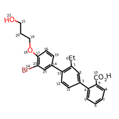 CCc1cc(-c2ccccc2C(=O)O)ccc1-c1ccc(OCCCO)c(Br)c1